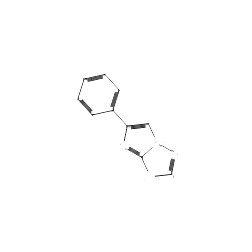 c1ccc(-c2cn3ncsc3n2)cc1